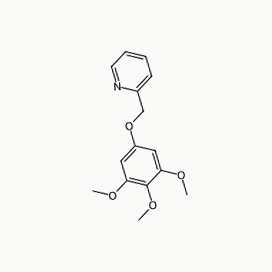 COc1cc(OCc2ccccn2)cc(OC)c1OC